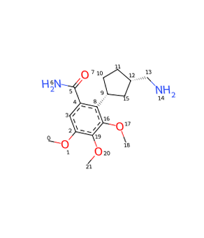 COc1cc(C(N)=O)c([C@@H]2CC[C@H](CN)C2)c(OC)c1OC